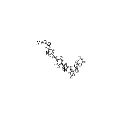 COC(=O)Cc1ccc(C#Cc2ccc(-c3cc(Cn4ccnc4[C@H](C)OC4CCCCO4)no3)cc2)cn1